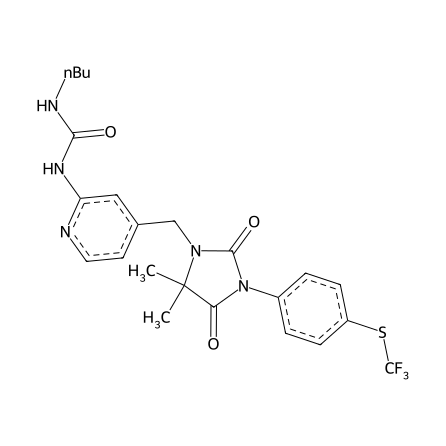 CCCCNC(=O)Nc1cc(CN2C(=O)N(c3ccc(SC(F)(F)F)cc3)C(=O)C2(C)C)ccn1